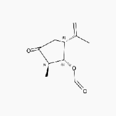 C=C(C)[C@H]1CC(=O)[C@H](C)[C@H]1OC=O